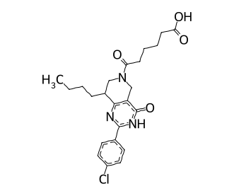 CCCCC1CN(C(=O)CCCCC(=O)O)Cc2c1nc(-c1ccc(Cl)cc1)[nH]c2=O